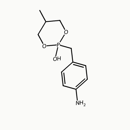 CC1CO[P](O)(Cc2ccc(N)cc2)OC1